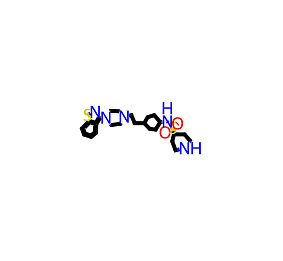 O=S(=O)(NC1CCC(CCN2CCN(c3nsc4ccccc34)CC2)CC1)C1CCNCC1